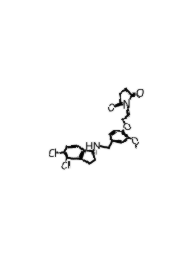 COc1cc(CN[C@H]2CCc3c2ccc(Cl)c3Cl)ccc1OCCN1C(=O)CCC1=O